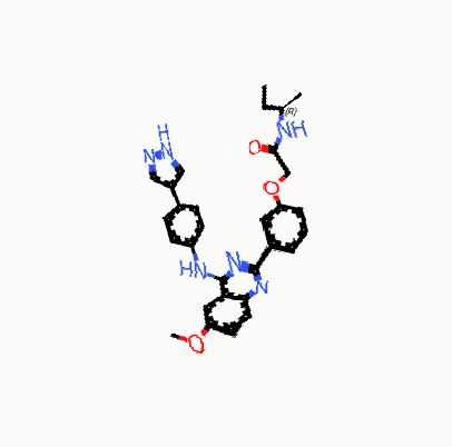 CC[C@@H](C)NC(=O)COc1cccc(-c2nc(Nc3ccc(-c4cn[nH]c4)cc3)c3cc(OC)ccc3n2)c1